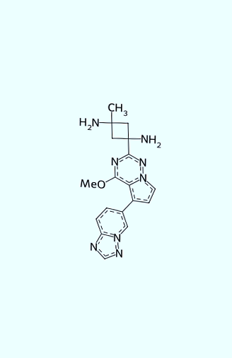 COc1nc(C2(N)CC(C)(N)C2)nn2ccc(-c3ccc4ncnn4c3)c12